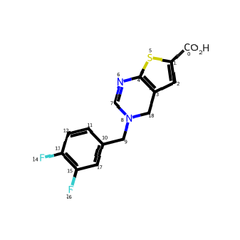 O=C(O)c1cc2c(s1)N=CN(Cc1ccc(F)c(F)c1)C2